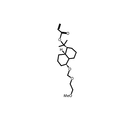 C=CC(=O)OC(C)(C)[C@H]1CCCC2[C@@H](OCOCCOC)CCC[C@@H]21